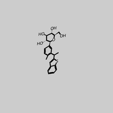 Cc1ccc([C@@H]2O[C@H](CO)[C@@H](O)[C@H](O)[C@H]2O)cc1C(C)c1cc2ccccc2s1